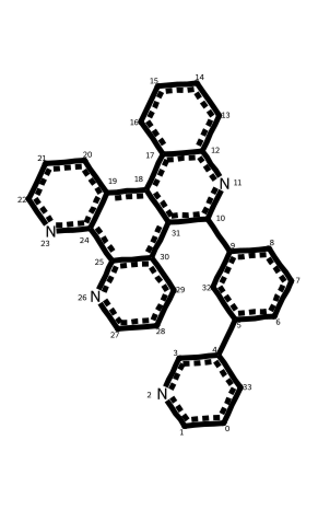 c1cncc(-c2cccc(-c3nc4ccccc4c4c5cccnc5c5ncccc5c34)c2)c1